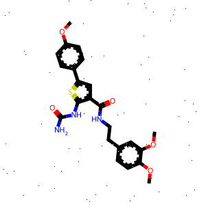 COc1ccc(-c2cc(C(=O)NCCc3ccc(OC)c(OC)c3)c(NC(N)=O)s2)cc1